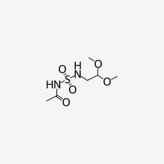 COC(CNS(=O)(=O)NC(C)=O)OC